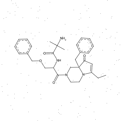 CCC1=CC(=O)C2(Cc3ccccc3)CN(C(=O)C(COCc3ccccc3)NC(=O)C(C)(C)N)CCN12